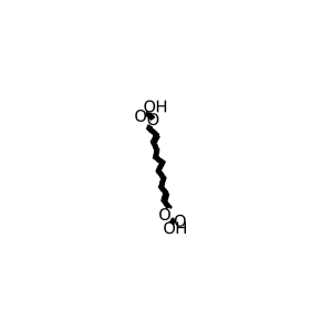 O=C(O)OCC=CCCCCCCC=CCOC(=O)O